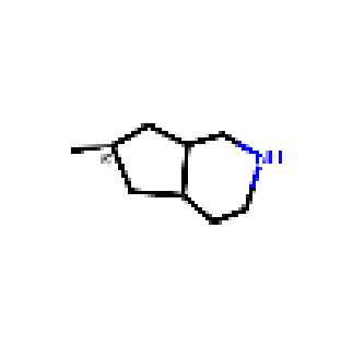 C[C@@H]1CC2CCNCC2C1